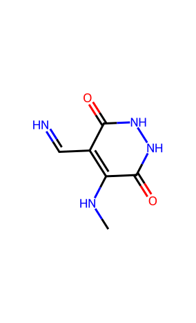 CNc1c(C=N)c(=O)[nH][nH]c1=O